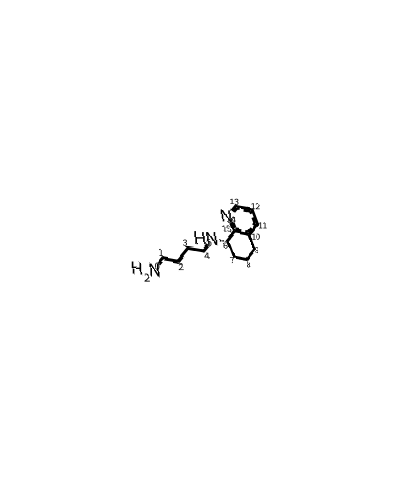 NCCCCN[C@H]1CCCc2cccnc21